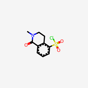 CN1CCc2c(cccc2S(=O)(=O)Cl)C1=O